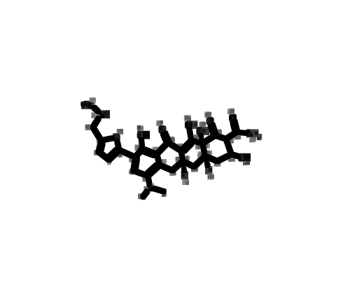 CN(C)c1cc(-c2ccc(CNC(C)(C)C)o2)c(O)c2c1C[C@H]1C[C@H]3CC(O)C(C(N)=O)C(=O)[C@@]3(O)C(O)=C1C2=O